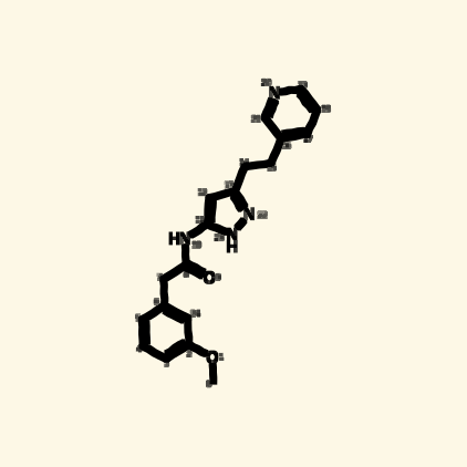 COc1cccc(CC(=O)Nc2cc(CCc3cccnc3)n[nH]2)c1